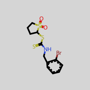 O=S1(=O)CCCC1SC(=S)NCc1ccccc1Br